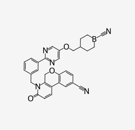 N#CB1CCC(COc2cnc(-c3cccc(Cn4c5c(ccc4=O)-c4cc(C#N)ccc4OC5)c3)nc2)CC1